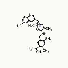 Bc1cc(C)c(C(=C)C)cc1CNC(=O)C(=C)/C=C(/Cc1cnc2ccc(C)cc2c1)NC